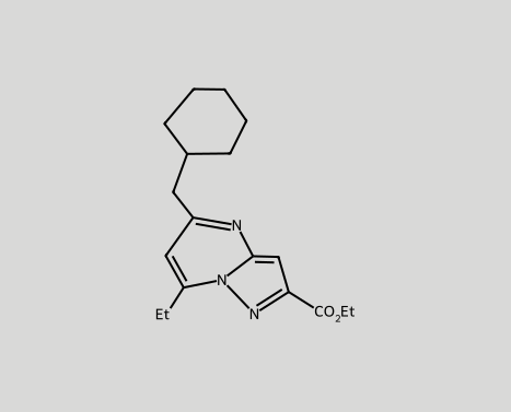 CCOC(=O)c1cc2nc(CC3CCCCC3)cc(CC)n2n1